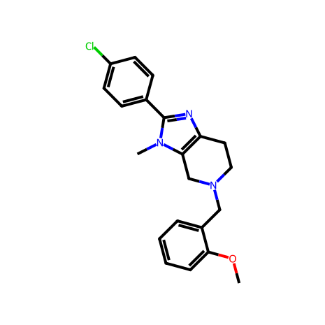 COc1ccccc1CN1CCc2nc(-c3ccc(Cl)cc3)n(C)c2C1